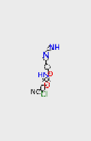 CC1(C)[C@H](NC(=O)c2ccc(C3CCN(CC4CCNCC4)CC3)cc2)C(C)(C)[C@H]1Oc1ccc(C#N)c(Cl)c1